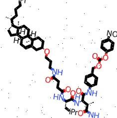 CC(C)CCC[C@@H](C)[C@H]1CC[C@H]2[C@@H]3CC=C4C[C@@H](OCCCNC(=O)CCC(=O)N[C@@H](CC(C)C)C(=O)N[C@H](C(=O)Nc5ccc(COC(=O)Oc6ccc([N+](=O)[O-])cc6)cc5)[C@H](C)C(N)=O)CC[C@]4(C)[C@H]3CC[C@]12C